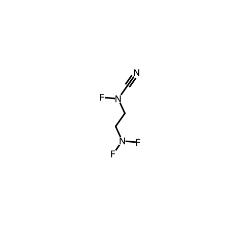 N#CN(F)CCN(F)F